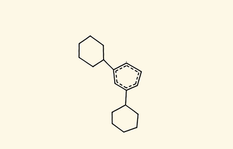 [c]1ccc(C2CCCCC2)cc1C1CCCCC1